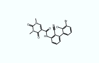 Cn1cc(C(=O)Nc2cccc(-c3cccc(Br)c3Cl)c2C#N)c(=O)n(C)c1=O